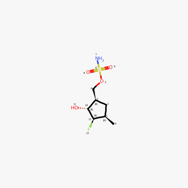 C[C@@H]1C[C@H](COS(N)(=O)=O)[C@@H](O)[C@@H]1F